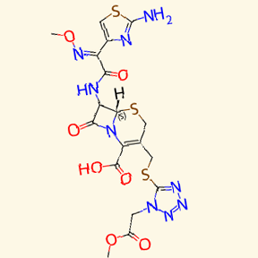 CON=C(C(=O)NC1C(=O)N2C(C(=O)O)=C(CSc3nnnn3CC(=O)OC)CS[C@@H]12)c1csc(N)n1